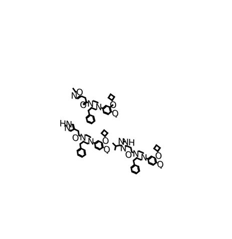 COc1ccc(N2CCN(C(=O)Cc3cn[nH]c3)C(Cc3ccccc3)C2)cc1OC1CCC1.COc1ccc(N2CCN(C(=O)Cc3cnc(C)o3)C(Cc3ccccc3)C2)cc1OC1CCC1.COc1ccc(N2CCN(C(=O)Cc3nc(C(C)C)n[nH]3)C(Cc3ccccc3)C2)cc1OC1CCC1